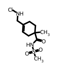 CC1(C(=O)NS(C)(=O)=O)CC=C(CNCl)CC1